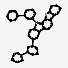 c1ccc(-c2cccc(-c3ccc4c(c3)c3ccc5c6ccccc6sc5c3n4-c3cccc(-c4ccccc4)c3)c2)cc1